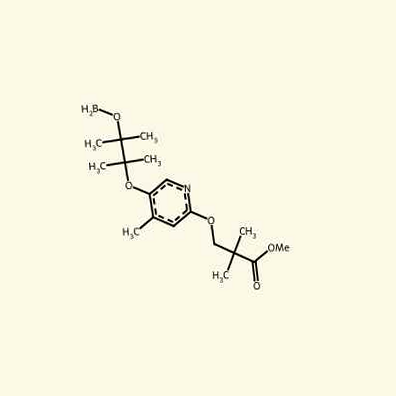 BOC(C)(C)C(C)(C)Oc1cnc(OCC(C)(C)C(=O)OC)cc1C